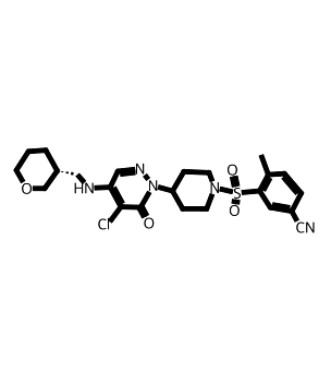 Cc1ccc(C#N)cc1S(=O)(=O)N1CCC(n2ncc(NC[C@H]3CCCOC3)c(Cl)c2=O)CC1